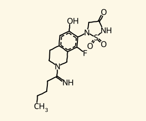 CCCCC(=N)N1CCc2cc(O)c(N3CC(=O)NS3(=O)=O)c(F)c2C1